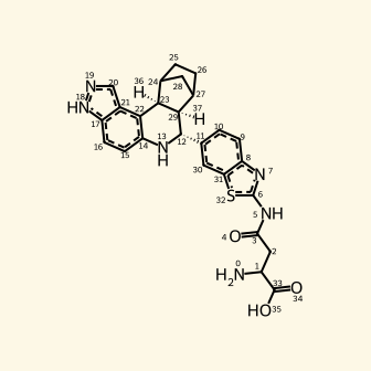 NC(CC(=O)Nc1nc2ccc([C@@H]3Nc4ccc5[nH]ncc5c4[C@H]4C5CCC(C5)[C@@H]34)cc2s1)C(=O)O